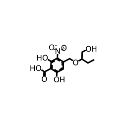 CCC(CO)OCc1cc(O)c(C(=O)O)c(O)c1[N+](=O)[O-]